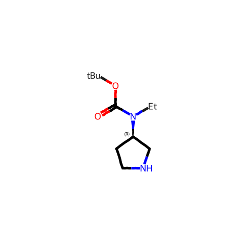 CCN(C(=O)OC(C)(C)C)[C@@H]1CCNC1